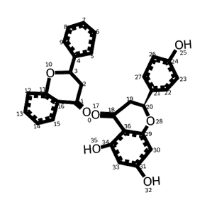 O=C1CC(c2ccccc2)Oc2ccccc21.O=C1C[C@@H](c2ccc(O)cc2)Oc2cc(O)cc(O)c21